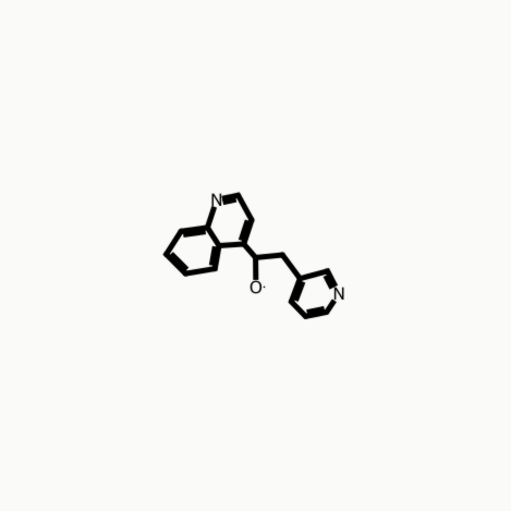 [O]C(Cc1cccnc1)c1ccnc2ccccc12